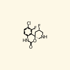 O=C1Nc2ccc(Cl)c(F)c2[C@]2(CNC[C@H](F)C2)O1